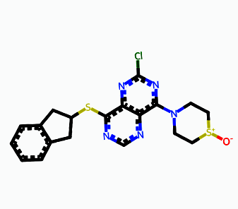 [O-][S+]1CCN(c2nc(Cl)nc3c(SC4Cc5ccccc5C4)ncnc23)CC1